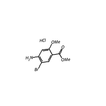 COC(=O)c1cc(Br)c(N)cc1OC.Cl